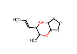 CC=CC(O)C(C)OC1CCCC1